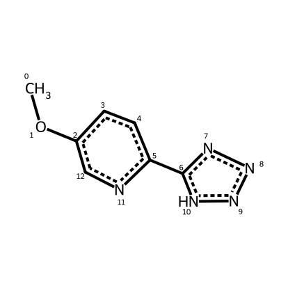 COc1ccc(-c2nnn[nH]2)nc1